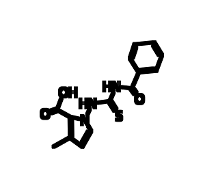 Cc1ccn(NC(=S)NC(=O)c2ccccc2)c1C(=O)O